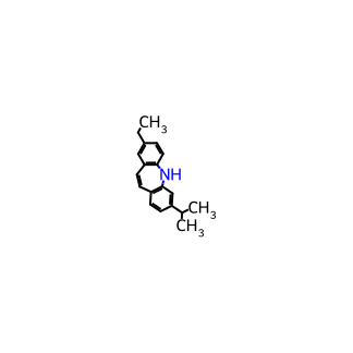 CCc1ccc2c(c1)C=Cc1ccc(C(C)C)cc1N2